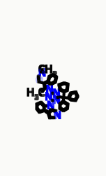 C=N/C=C\c1c(C)n(-c2nc(-n3c4ccccc4c4ccncc43)nc(C(c3ccccc3)(c3ccccc3)c3ccccc3)n2)c2ccccc12